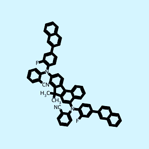 CC1(C)c2cc(N(c3ccc(-c4ccc5ccccc5c4)cc3F)c3ccccc3C#N)ccc2-c2c1cc(N(c1ccc(-c3ccc4ccccc4c3)cc1F)c1ccccc1C#N)c1ccccc21